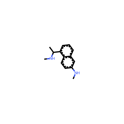 CNc1ccc2c(C(C)NC)cccc2c1